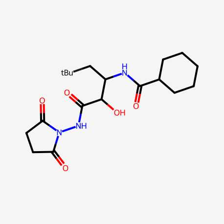 CC(C)(C)CC(NC(=O)C1CCCCC1)C(O)C(=O)NN1C(=O)CCC1=O